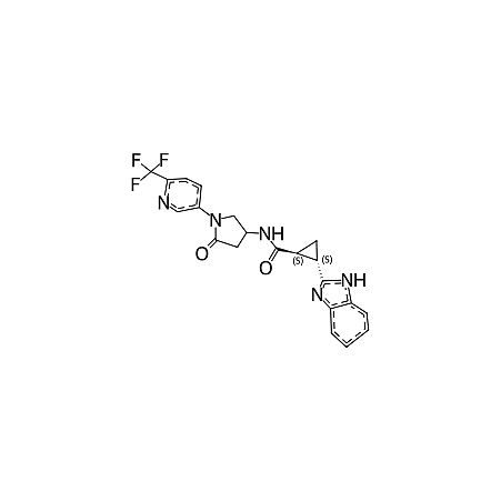 O=C(NC1CC(=O)N(c2ccc(C(F)(F)F)nc2)C1)[C@H]1C[C@@H]1c1nc2ccccc2[nH]1